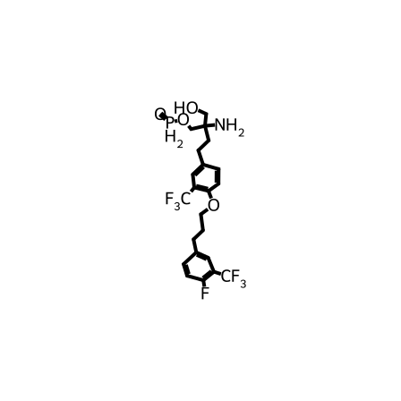 NC(CO)(CCc1ccc(OCCCc2ccc(F)c(C(F)(F)F)c2)c(C(F)(F)F)c1)CO[PH2]=O